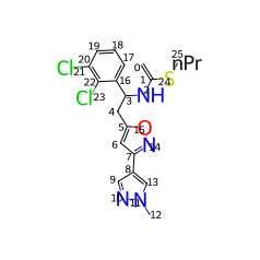 C=C(NC(Cc1cc(-c2cnn(C)c2)no1)c1cccc(Cl)c1Cl)SCCC